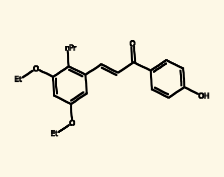 CCCc1c(C=CC(=O)c2ccc(O)cc2)cc(OCC)cc1OCC